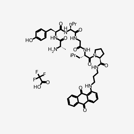 CCC[C@H](NC(=O)[C@H](Cc1ccc(O)cc1)NC(=O)[C@H](C)N)C(=O)NCC(=O)N[C@@H](CC(C)C)C(=O)N1CCC[C@H]1C(=O)NCCCNc1cccc2c1C(=O)c1ccccc1C2=O.O=C(O)C(F)(F)F